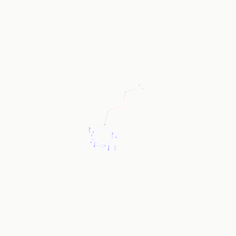 CC(=O)COCc1nn[nH]n1